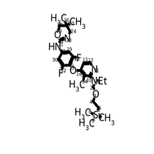 CCN(COCC[Si](C)(C)C)c1nccc(Oc2c(F)cc(NC3=NCC(C)(C)CO3)cc2F)c1C